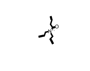 C=CCC(=O)[N+](CC=C)CC=C